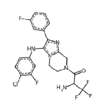 NC(C(=O)N1CCn2c(nc(-c3cccc(F)c3)c2Nc2ccc(Cl)c(F)c2)C1)C(F)(F)F